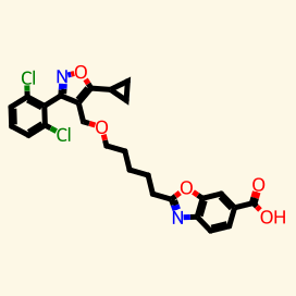 O=C(O)c1ccc2nc(CCCCCOCc3c(-c4c(Cl)cccc4Cl)noc3C3CC3)oc2c1